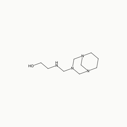 OCCNCN1CN2CCCN(C2)C1